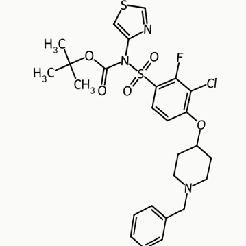 CC(C)(C)OC(=O)N(c1cscn1)S(=O)(=O)c1ccc(OC2CCN(Cc3ccccc3)CC2)c(Cl)c1F